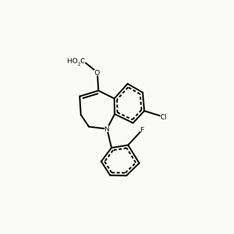 O=C(O)OC1=CCCN(c2ccccc2F)c2cc(Cl)ccc21